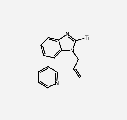 C=CCn1[c]([Ti])nc2ccccc21.c1ccncc1